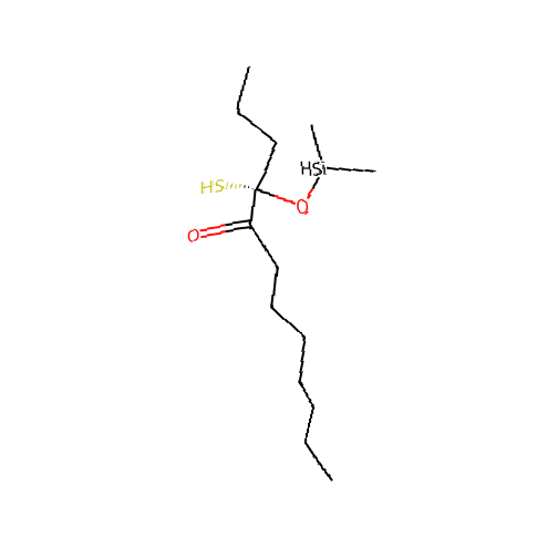 CCCCCCCC(=O)[C@@](S)(CCC)O[SiH](C)C